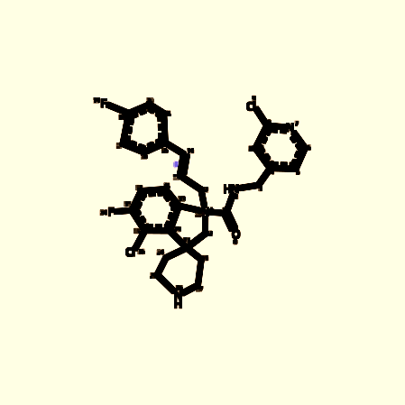 O=C(NCc1ccnc(Cl)c1)[N+]1(C/C=C/c2ccc(F)cc2)CC2(CCNCC2)c2c1ccc(F)c2Cl